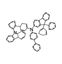 C1=CC2c3ccccc3N(c3ccccc3C3C=CC(N(c4ccc(-c5ccccc5)cc4)c4ccc5c(c4)C(C4=CCCC=C4)(c4ccccc4)c4ccccc4-5)=CC3)C2C=C1